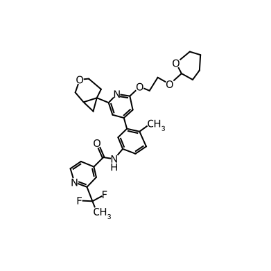 Cc1ccc(NC(=O)c2ccnc(C(C)(F)F)c2)cc1-c1cc(OCCOC2CCCCO2)nc(C23CCOCC2C3)c1